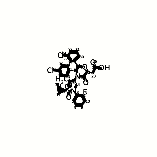 CC(C)[C@@H](CN(c1ccccc1F)S(=O)(=O)C1CC1)N1C(=O)[C@@H](CC(=O)O)O[C@H](c2cccc(Cl)c2)[C@H]1c1ccc(Cl)cc1